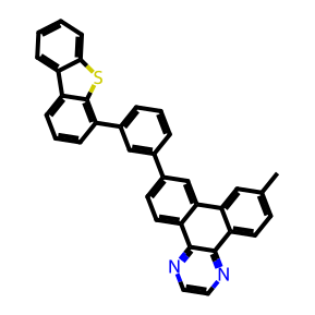 Cc1ccc2c(c1)c1cc(-c3cccc(-c4cccc5c4sc4ccccc45)c3)ccc1c1nccnc21